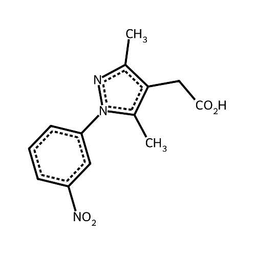 Cc1nn(-c2cccc([N+](=O)[O-])c2)c(C)c1CC(=O)O